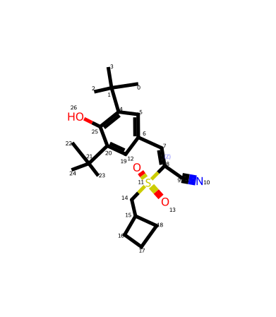 CC(C)(C)c1cc(/C=C(/C#N)S(=O)(=O)CC2CCC2)cc(C(C)(C)C)c1O